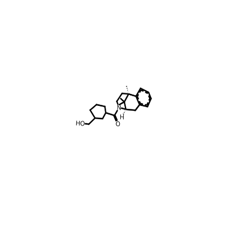 CC1(C)[C@H]2Cc3ccccc3[C@]1(C)CCN2C(=O)C1CCCC(CO)C1